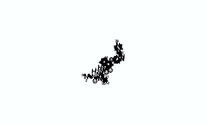 CN(C)CCNC(=O)c1nc(NC(=O)N[C@@]2(C=O)C=C[C@@H](Oc3ccc4nnc(C(C)(C)N5CCN(C)CC5)n4c3)c3ccccc32)cc(C(C)(C)C)n1